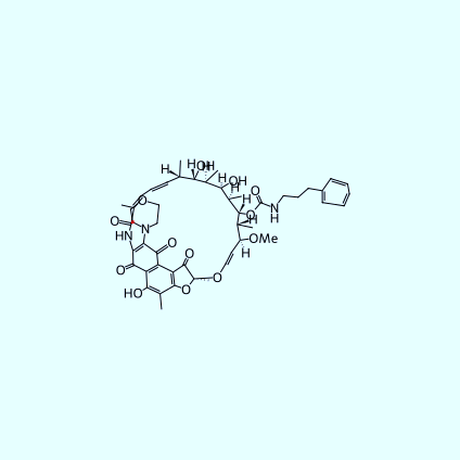 CO[C@H]1/C=C/O[C@@]2(C)Oc3c(C)c(O)c4c(c3C2=O)C(=O)C(N2CCOCC2)=C(NC(=O)/C(C)=C\C=C\[C@H](C)[C@H](O)[C@@H](C)[C@@H](O)[C@@H](C)[C@H](OC(=O)NCCCc2ccccc2)[C@@H]1C)C4=O